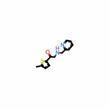 Cc1ccc(C(=O)CNCc2ccccn2)s1